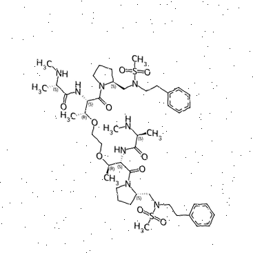 CN[C@@H](C)C(=O)N[C@H](C(=O)N1CCC[C@H]1CN(CCc1ccccc1)S(C)(=O)=O)[C@@H](C)OCCO[C@H](C)[C@H](NC(=O)[C@H](C)NC)C(=O)N1CCC[C@H]1CN(CCc1ccccc1)S(C)(=O)=O